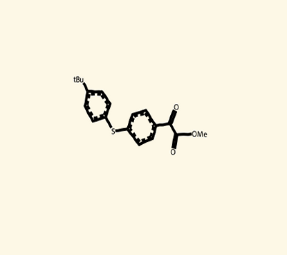 COC(=O)C(=O)c1ccc(Sc2ccc(C(C)(C)C)cc2)cc1